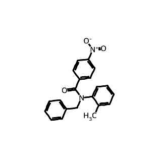 Cc1ccccc1N(Cc1ccccc1)C(=O)c1ccc([N+](=O)[O-])cc1